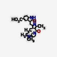 Cc1[nH]c(C=C2C(=O)Nc3ccc(C(=O)O)cc32)c(C)c1C(=O)N1CC[C@H](N(C)C)C1